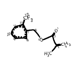 C=C(C)C(=O)OCc1ccccc1C(F)(F)F